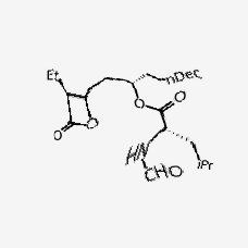 CCCCCCCCCCC[C@@H](CC1OC(=O)[C@H]1CC)OC(=O)[C@H](CC(C)C)NC=O